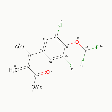 C=C(C(=O)OC)C(OC(C)=O)c1cc(Cl)c(OC(F)F)c(Cl)c1